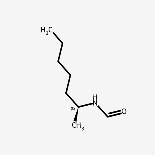 CCCCC[C@H](C)NC=O